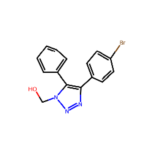 OCn1nnc(-c2ccc(Br)cc2)c1-c1ccccc1